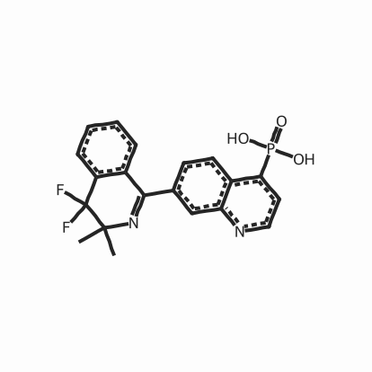 CC1(C)N=C(c2ccc3c(P(=O)(O)O)ccnc3c2)c2ccccc2C1(F)F